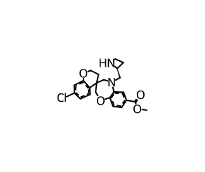 COC(=O)c1ccc2c(c1)N(C[C@@H]1CCN1)CC1(CCOc3cc(Cl)ccc31)CO2